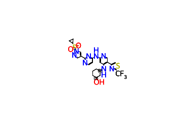 O=S(=O)(C1CC1)n1cc(-c2nccc(Nc3cc(N[C@@H]4CCC[C@H](O)C4)c(-c4csc(C(F)(F)F)n4)cn3)n2)cn1